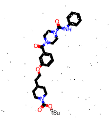 CC(C)(C)OC(=O)N1CCC(CCOc2cccc(C(=O)N3CCN(C(=O)Nc4ccccc4)CC3)c2)CC1